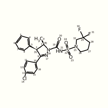 C[C@@H]1[C@H](c2ccccc2)C(c2ccc(Cl)cc2)=NN1C(=O)NS(=O)(=O)N1CCCC(F)(F)C1